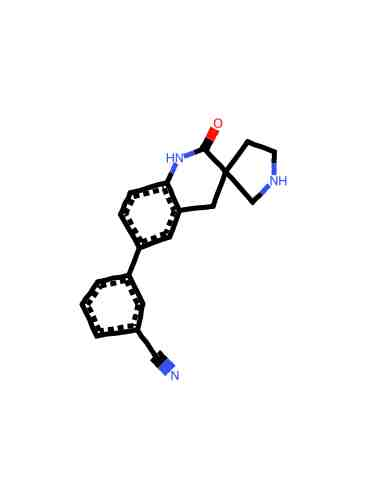 N#Cc1cccc(-c2ccc3c(c2)CC2(CCNC2)C(=O)N3)c1